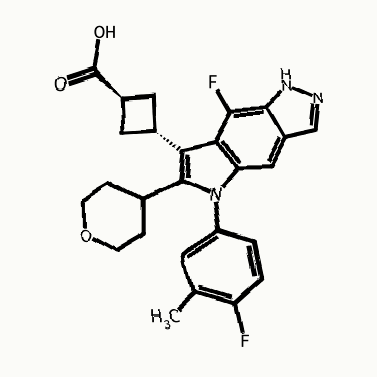 Cc1cc(-n2c(C3CCOCC3)c([C@H]3C[C@H](C(=O)O)C3)c3c(F)c4[nH]ncc4cc32)ccc1F